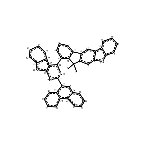 CC1(C)c2cc3oc4ccccc4c3cc2-c2cccc(-c3nc(-c4cc5ccccc5c5ccccc45)nc4sc5ccccc5c34)c21